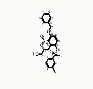 Cc1cccc(S(=O)(=O)Oc2ccc(OCc3ccccc3)c([N+](=O)[O-])c2CCCO)c1